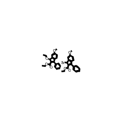 CCOC(=O)C1=C(c2ccccc2)c2ccc(OC)cc2C1Br.CCOC(=O)C1=C(c2ccccc2)c2ccc(OC)cc2C1OCC